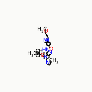 COCC#CCn1ncc2cc(C(=O)Nc3cc4c(cn3)CC(CN3CCC[C@@H]3C)N4COCC[Si](C)(C)C)ccc21